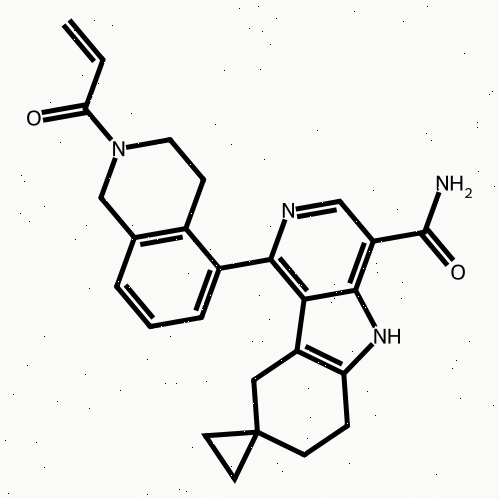 C=CC(=O)N1CCc2c(cccc2-c2ncc(C(N)=O)c3[nH]c4c(c23)CC2(CC4)CC2)C1